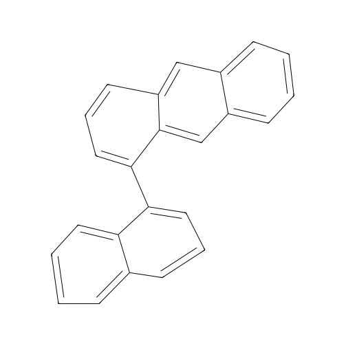 c1ccc2cc3c(-c4cccc5ccccc45)cccc3cc2c1